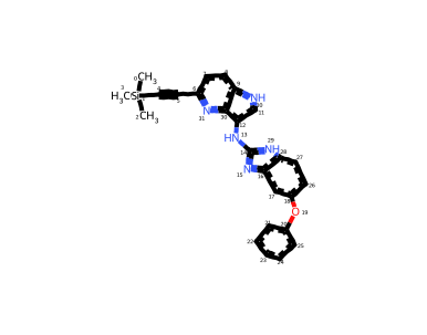 C[Si](C)(C)C#Cc1ccc2[nH]cc(Nc3nc4cc(Oc5ccccc5)ccc4[nH]3)c2n1